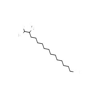 CCCCCCCCCCCCCCC(N=O)C(O)O